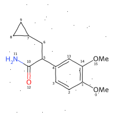 COc1ccc(C(CC2CC2)C(N)=O)cc1OC